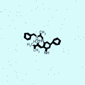 C=C(C)/C(C)=C/C1=C(NCC(C)NCc2ccccc2)CC(c2ccccc2)CC1=N